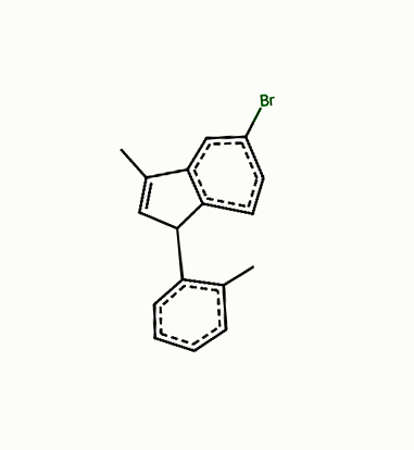 CC1=CC(c2ccccc2C)c2ccc(Br)cc21